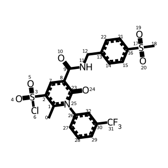 Cc1c(S(=O)(=O)Cl)cc(C(=O)NCc2ccc(S(C)(=O)=O)cc2)c(=O)n1-c1cccc(C(F)(F)F)c1